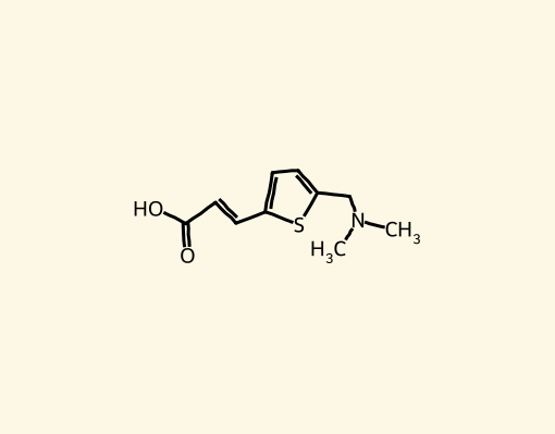 CN(C)Cc1ccc(/C=C/C(=O)O)s1